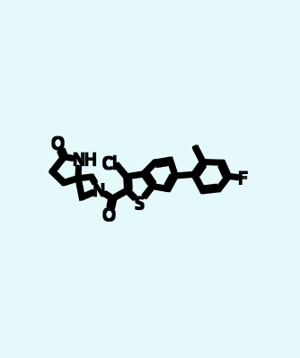 Cc1cc(F)ccc1-c1ccc2c(Cl)c(C(=O)N3CC4(CCC(=O)N4)C3)sc2c1